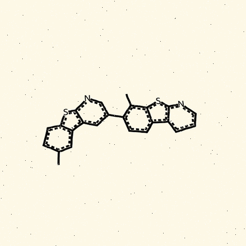 Cc1ccc2sc3ncc(-c4ccc5c(sc6ncccc65)c4C)cc3c2c1